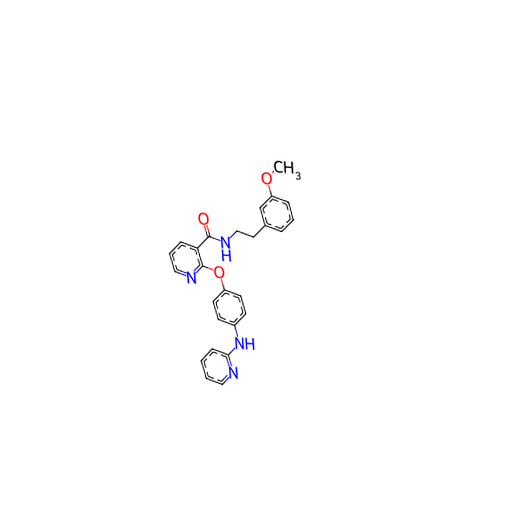 COc1cccc(CCNC(=O)c2cccnc2Oc2ccc(Nc3ccccn3)cc2)c1